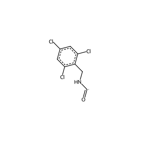 O=[C]NCc1c(Cl)cc(Cl)cc1Cl